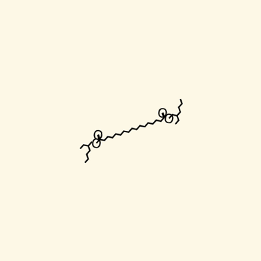 CCCCC(CC)COC(=O)CCCCCCCCCCCCCCCC(=O)OCC(CC)CCCC